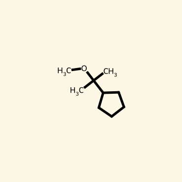 COC(C)(C)C1CCCC1